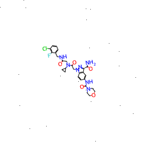 NC(=O)c1nn(CC(=O)N(CC(=O)NCc2cccc(Cl)c2F)C2CC2)c2ccc(NC(=O)N3CCOCC3)cc12